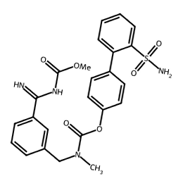 COC(=O)NC(=N)c1cccc(CN(C)C(=O)Oc2ccc(-c3ccccc3S(N)(=O)=O)cc2)c1